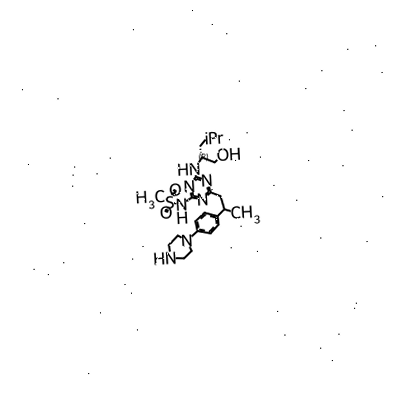 CC(C)C[C@H](CO)Nc1nc(CC(C)c2ccc(N3CCNCC3)cc2)nc(NS(C)(=O)=O)n1